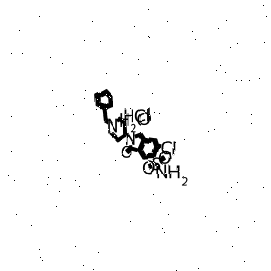 Cl.NS(=O)(=O)c1cc2c(cc1Cl)CN(C1CCN(Cc3ccccc3)CC1)C2=O.O